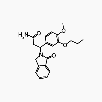 CCCOc1cc(C(CC(N)=O)N2Cc3ccccc3C2=O)ccc1OC